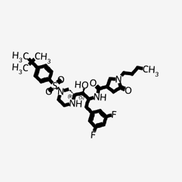 CCCCN1CC(C(=O)NC(Cc2cc(F)cc(F)c2)[C@H](O)[C@H]2CN(S(=O)(=O)c3ccc(C(C)(C)C)cc3)CCN2)CC1=O